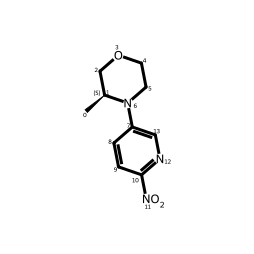 C[C@H]1COCCN1c1ccc([N+](=O)[O-])nc1